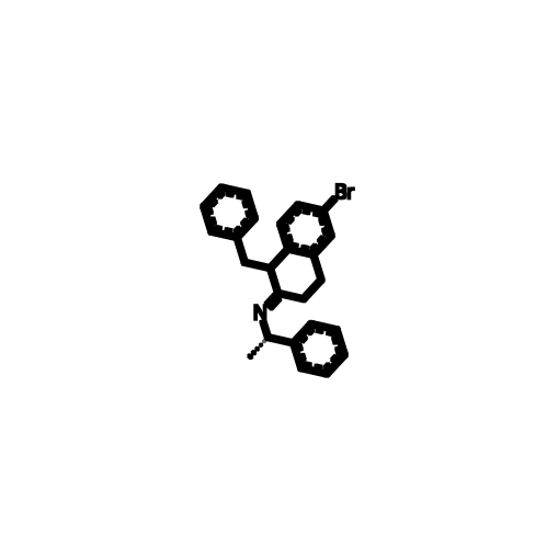 C[C@H](/N=C1\CCc2cc(Br)ccc2C1Cc1ccccc1)c1ccccc1